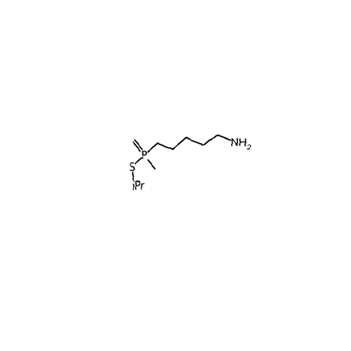 C=P(C)(CCCCCN)SC(C)C